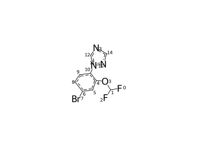 FC(F)Oc1cc(Br)ccc1-n1cncn1